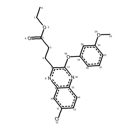 CCOC(=O)CCc1nc2cc(Cl)ccc2nc1Oc1cccc(OC)c1